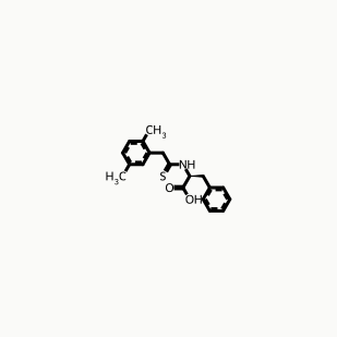 Cc1ccc(C)c(CC(=S)N[C@@H](Cc2ccccc2)C(=O)O)c1